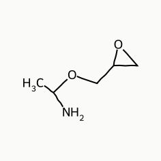 CC(N)OCC1CO1